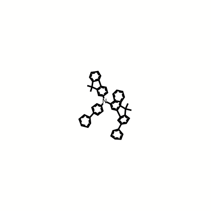 CC1(C)c2ccccc2-c2ccc(N(c3ccc(-c4ccccc4)cc3)c3cc4c(c5ccccc35)C(C)(C)c3ccc(-c5ccccc5)cc3-4)cc21